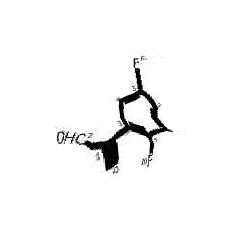 C=C(C=O)c1cc(F)ccc1F